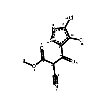 COC(=O)C(C#N)C(=O)c1snc(Cl)c1Cl